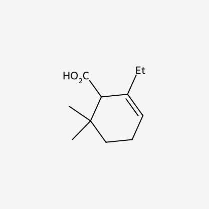 CCC1=CCCC(C)(C)C1C(=O)O